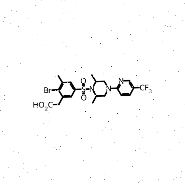 Cc1cc(S(=O)(=O)N2C(C)CN(c3ccc(C(F)(F)F)cn3)CC2C)cc(CC(=O)O)c1Br